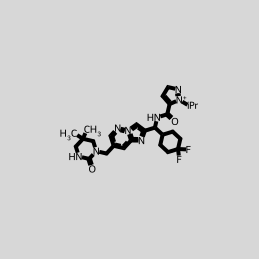 CC(C)[N+]1=NCC=C1C(=O)NC(c1cn2ncc(CN3CC(C)(C)CNC3=O)cc2n1)C1CCC(F)(F)CC1